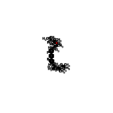 CN(C)C(=O)O[C@@](C)(C(=O)N[C@H](c1nc2cc(-c3ccc(-c4cc5nc([C@@H](NC(=O)[C@](C)(OC(=O)N(C)C)C(C)(C)C)C(C)(C)C)[nH]c5cc4F)cc3)c(F)cc2[nH]1)C(C)(C)C)C(C)(C)C